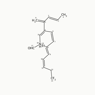 C=C(/C=C/C)C(/C=C\C(=C\C=C/CC(F)(F)F)CC)=C/NC=O